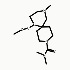 CCCN1CCN(C)CC12CCN(C(=O)N(C)C)CC2